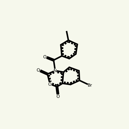 Cc1cccc(C(=O)n2c(=O)oc(=O)c3cc(Br)ccc32)c1